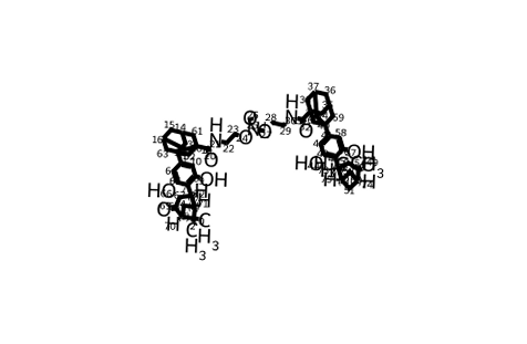 CC1(C)[C@@H]2C[C@@H]1[C@H](c1c(O)cc(C34CC5CC(CC(C(=O)NCCO[N+](=O)OCCNC(=O)C67CC8CC(C6)CC(c6cc(O)c([C@@H]9CC(=O)[C@H]%10C[C@H]9C%10(C)C)c(O)c6)(C8)C7)(C5)C3)C4)cc1O)CC2=O